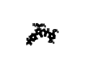 Cc1ccc(C)c(NC(=O)CN2C(=O)N(c3ccc(C(F)(F)F)nc3)C[C@@H]2C(C)C)c1